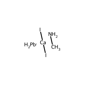 CN.[I][Ca][I].[PbH2]